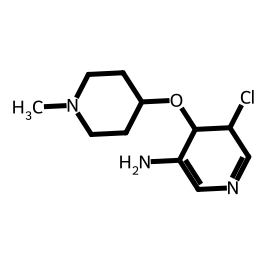 CN1CCC(OC2C(N)=CN=CC2Cl)CC1